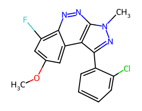 COc1cc(F)c2nnc3c(c(-c4ccccc4Cl)nn3C)c2c1